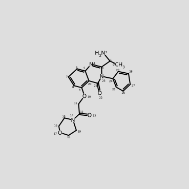 CC(N)c1nc2cccc(OCC(=O)N3CCOCC3)c2c(=O)n1-c1ccccc1